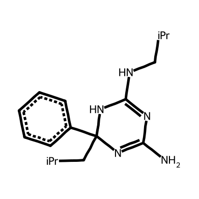 CC(C)CNC1=NC(N)=NC(CC(C)C)(c2ccccc2)N1